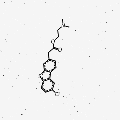 CN(C)CCOC(=O)Cc1ccc2c(c1)sc1ccc(Cl)cc12